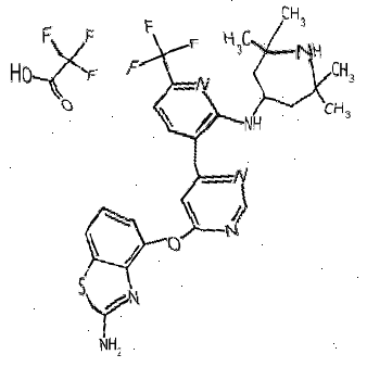 CC1(C)CC(Nc2nc(C(F)(F)F)ccc2-c2cc(Oc3cccc4sc(N)nc34)ncn2)CC(C)(C)N1.O=C(O)C(F)(F)F